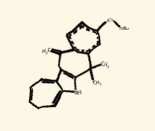 C=C1C2=C(BC3=CCC=CC=C32)C(C)(C)c2cc(OCCCC)ccc21